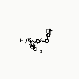 COC(=O)C[C@@H](c1ccc(OCc2cccc(-c3ccc(C(F)(F)F)cc3)c2)cc1)c1cc(C)on1